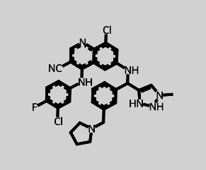 CN1C=C(C(Nc2cc(Cl)c3ncc(C#N)c(Nc4ccc(F)c(Cl)c4)c3c2)c2cccc(CN3CCCC3)c2)NN1